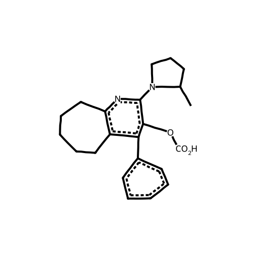 CC1CCCN1c1nc2c(c(-c3ccccc3)c1OC(=O)O)CCCCC2